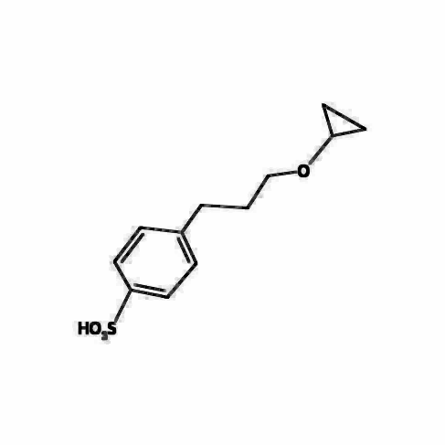 O=S(=O)(O)c1ccc(CCCOC2CC2)cc1